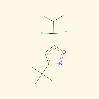 CC(C)C(F)(F)c1cc(C(C)(C)C)no1